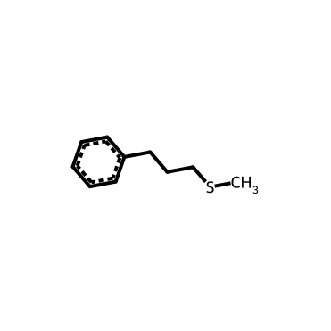 CSCCCc1ccccc1